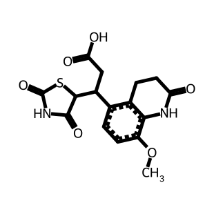 COc1ccc(C(CC(=O)O)C2SC(=O)NC2=O)c2c1NC(=O)CC2